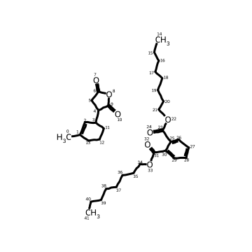 CC1=CC(C2CC(=O)OC2=O)CCC1.CCCCCCCCOC(=O)c1ccccc1C(=O)OCCCCCCCC